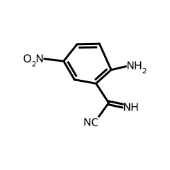 N#CC(=N)c1cc([N+](=O)[O-])ccc1N